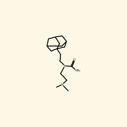 CCCCC(=O)N(CCN(C)C)CCC12CC3CC(CC(C3)C1)C2